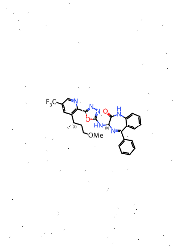 COCC[C@H](C)c1cc(C(F)(F)F)cnc1-c1nnc(N[C@@H]2N=C(c3ccccc3)c3ccccc3NC2=O)o1